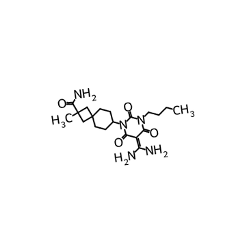 CCCCN1C(=O)C(=C(N)N)C(=O)N(C2CCC3(CC2)CC(C)(C(N)=O)C3)C1=O